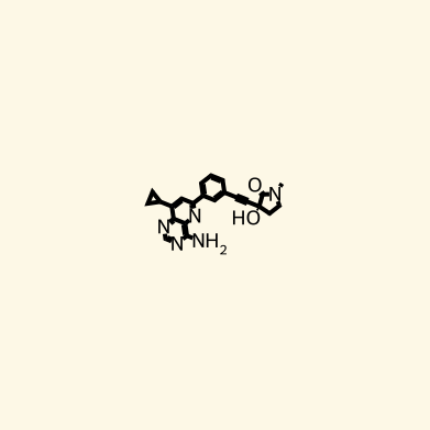 CN1CC[C@@](O)(C#Cc2cccc(-c3cc(C4CC4)c4ncnc(N)c4n3)c2)C1=O